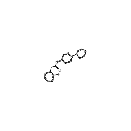 O=C(Cc1ccccc1F)N=c1ccn(-c2ccccc2)nc1